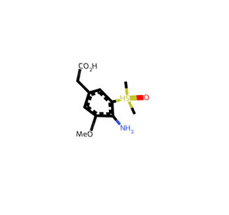 COc1cc(CC(=O)O)cc([SH](C)(C)=O)c1N